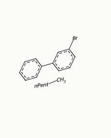 Brc1cccc(-c2ccccc2)c1.CCCCCC